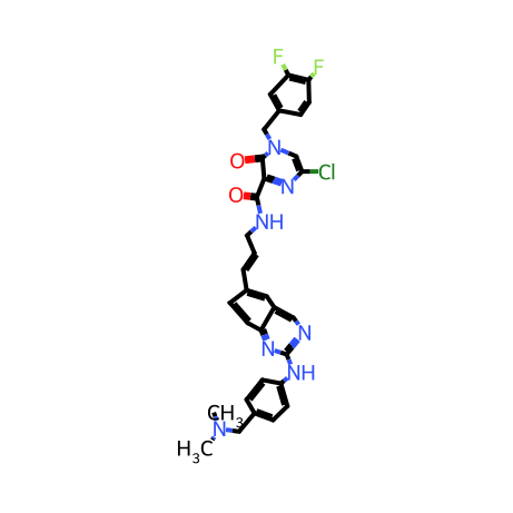 CN(C)Cc1ccc(Nc2ncc3cc(C=CCNC(=O)c4nc(Cl)cn(Cc5ccc(F)c(F)c5)c4=O)ccc3n2)cc1